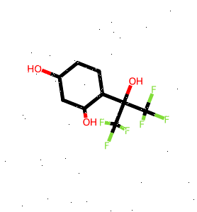 OC1CCC(C(O)(C(F)(F)F)C(F)(F)F)C(O)C1